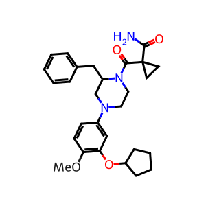 COc1ccc(N2CCN(C(=O)C3(C(N)=O)CC3)C(Cc3ccccc3)C2)cc1OC1CCCC1